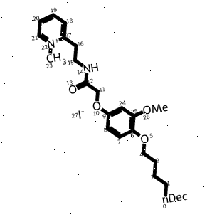 CCCCCCCCCCCCCCOc1ccc(OCC(=O)NCCc2cccc[n+]2C)cc1OC.[I-]